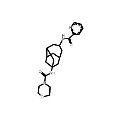 O=C(NC1CC2CC3CC(NC(=O)N4CCOCC4)(C2)CC3C1)c1ccccn1